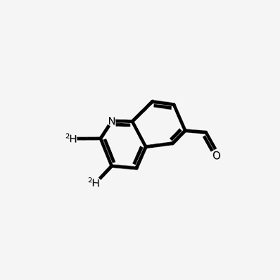 [2H]c1cc2cc(C=O)ccc2nc1[2H]